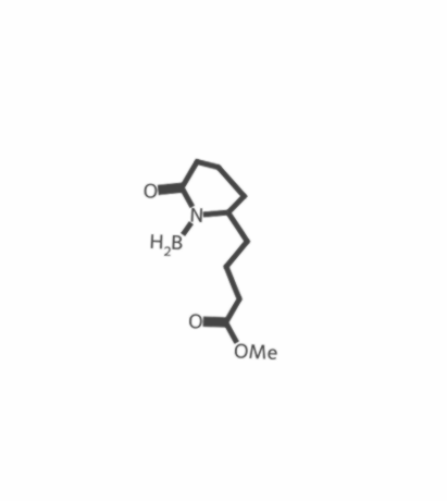 BN1C(=O)CCCC1CCCC(=O)OC